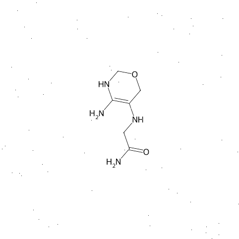 NC(=O)CNC1=C(N)NCOC1